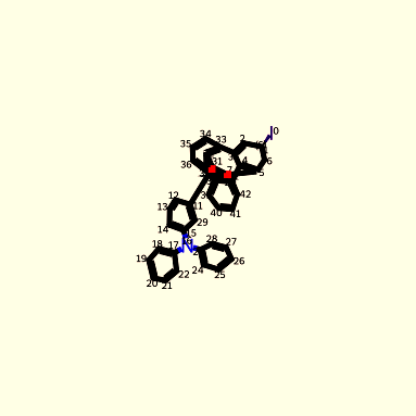 I[C@@H]1C=C2C3=C(C1)c1ccc(-c4cccc(N(c5ccccc5)c5ccccc5)c4)cc1-c1c2cccc1-c1ccccc13